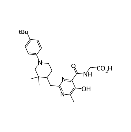 Cc1nc(CC2CCN(c3ccc(C(C)(C)C)cc3)CC2(C)C)nc(C(=O)NCC(=O)O)c1O